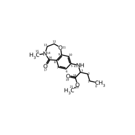 CCCC(Nc1ccc2c(c1)OCCN(C)C2=O)C(=O)OC